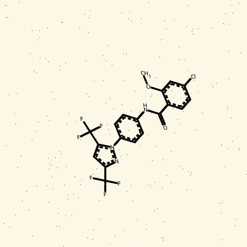 COc1cc(Cl)ccc1C(=O)Nc1ccc(-n2nc(C(F)(F)F)cc2C(F)(F)F)cc1